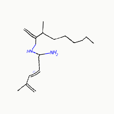 C=C(C)/C=C/C(N)NC(=C)C(C)CCCCC